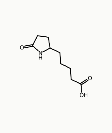 O=C(O)CCCCC1CCC(=O)N1